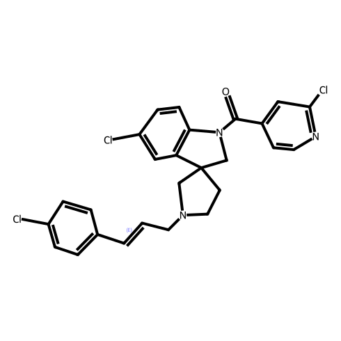 O=C(c1ccnc(Cl)c1)N1CC2(CCN(C/C=C/c3ccc(Cl)cc3)C2)c2cc(Cl)ccc21